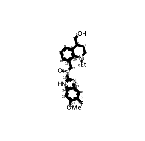 CCN1CCC(CO)c2cccc(C[S+]([O-])c3nc4cc(F)c(OC)cc4[nH]3)c21